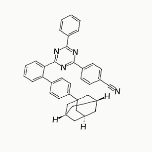 N#Cc1ccc(-c2nc(-c3ccccc3)nc(-c3ccccc3-c3ccc(C45C[C@H]6C[C@@H](C4)C[C@@H](C5)C6)cc3)n2)cc1